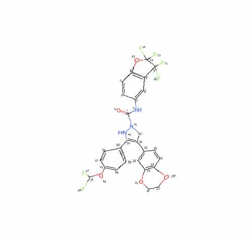 O=C(Nc1ccc2c(c1)C(F)(F)C(F)(F)O2)N1CC(c2ccc3c(c2)OCCO3)=C(c2ccc(OC(F)F)cc2)N1